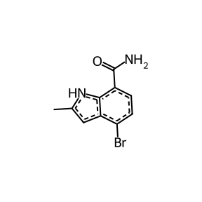 Cc1cc2c(Br)ccc(C(N)=O)c2[nH]1